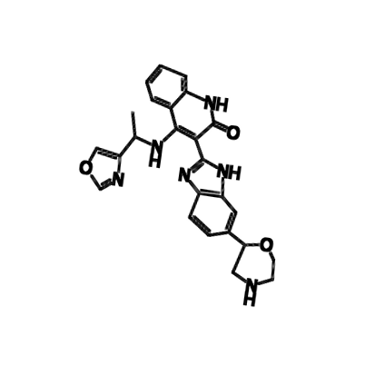 CC(Nc1c(-c2nc3ccc(C4CNCCO4)cc3[nH]2)c(=O)[nH]c2ccccc12)c1cocn1